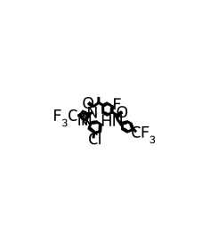 CC(C(=O)N(C)c1cc(C(F)(F)F)nn1-c1cccc(Cl)c1)c1ccc(C(=O)Nc2ccc(C(F)(F)F)cc2)c(F)c1